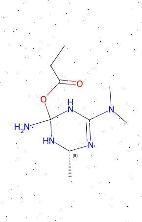 CCC(=O)OC1(N)NC(N(C)C)=N[C@H](C)N1